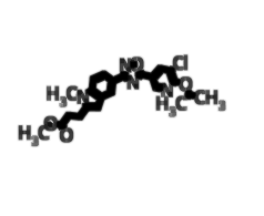 COC(=O)CCc1cc2cc(-c3noc(-c4cnc(OC(C)C)c(Cl)c4)n3)ccc2n1C